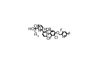 Cc1cc(OCc2ncc(F)cc2F)c(Cl)c(F)c1-n1c(C)c(-c2ccnc(C(C)(C)O)n2)ccc1=O